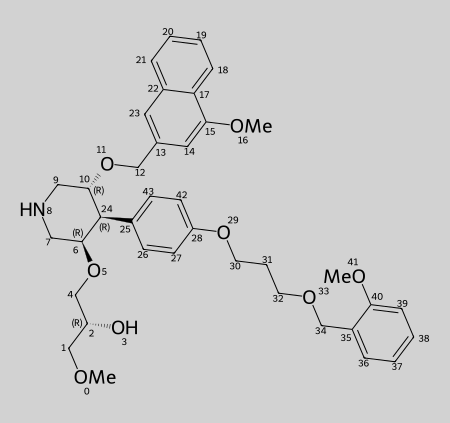 COC[C@@H](O)CO[C@H]1CNC[C@H](OCc2cc(OC)c3ccccc3c2)[C@H]1c1ccc(OCCCOCc2ccccc2OC)cc1